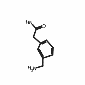 [NH]C(=O)Cc1cccc(CN)c1